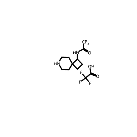 O=C(NC1CCC12CCNCC2)C(F)(F)F.O=C(O)C(F)(F)F